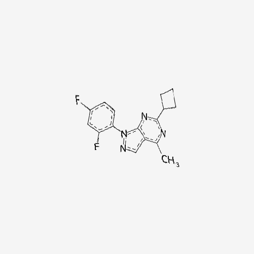 Cc1nc(C2CCC2)nc2c1cnn2-c1ccc(F)cc1F